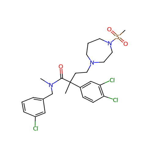 CN(Cc1cccc(Cl)c1)C(=O)C(C)(CCN1CCCN(S(C)(=O)=O)CC1)c1ccc(Cl)c(Cl)c1